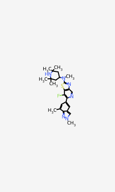 Cc1cc(-c2ncc3nc(N(C)C4CC(C)(C)NC(C)(C)C4)sc3c2F)cc2cn(C)nc12